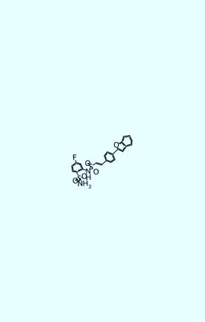 NS(=O)(=O)c1ccc(F)cc1NS(=O)(=O)C=Cc1ccc(-c2cc3ccccc3o2)cc1